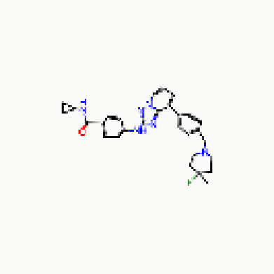 CC1(F)CCN(Cc2ccc(-c3cccn4nc(Nc5ccc(C(=O)NC6CC6)cc5)nc34)cc2)CC1